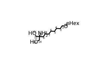 CCCCCCOCCCCCCCCC(N)(CO)CO